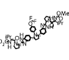 COC(=O)N[C@H](C(=O)N1CCCC1c1nc2cc([C@H]3CC[C@H](c4ccc5[nH]c([C@@H]6CCCN6C(=O)[C@@H](NC(=O)O)C(C)C)nc5c4)N3c3ccc(OC(F)F)cc3)ccc2[nH]1)C(C)C